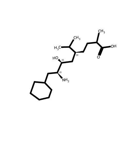 CC(CC[C@@H](C[C@H](O)[C@@H](N)CC1CCCCC1)C(C)C)C(=O)O